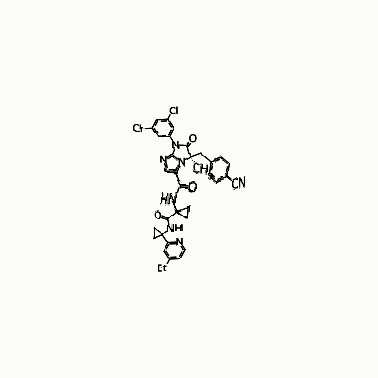 CCc1ccnc(C2(NC(=O)C3(NC(=O)c4cnc5n4[C@](C)(Cc4ccc(C#N)cc4)C(=O)N5c4cc(Cl)cc(Cl)c4)CC3)CC2)c1